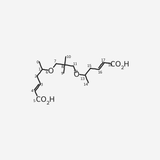 CC(CC=CC(=O)O)OCC(C)(C)COC(C)CC=CC(=O)O